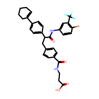 O=C(O)CCNC(=O)c1ccc(CC(C(=O)Nc2ccc(Br)c(C(F)(F)F)c2)c2ccc(C3=CCCCC3)cc2)cc1